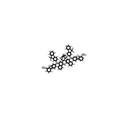 CC(C)(C)c1cccc2c1oc1cc(N(c3ccc4c(c3)C(C)(C)c3ccccc3-4)c3cc4c(c5ccccc35)Sc3c(cc(N(c5ccc6c(c5)C(C)(C)c5ccccc5-6)c5ccc6c(c5)oc5c(C(C)(C)C)cccc56)c5ccccc35)C43C4CC5CC(C4)CC3C5)ccc12